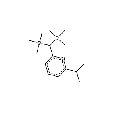 CC(C)c1cccc(C([Si](C)(C)C)[Si](C)(C)C)n1